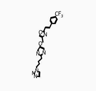 FC(F)(F)c1ccc(C=Cc2nc(COc3cnc(CCCCn4ccnn4)nc3)co2)cc1